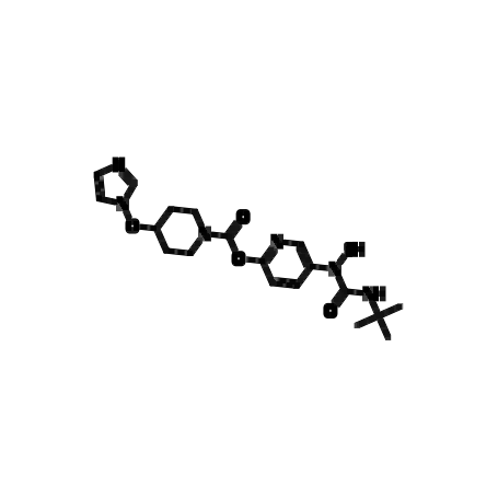 CC(C)(C)NC(=O)N(S)c1ccc(OC(=O)N2CCC(On3ccnc3)CC2)nc1